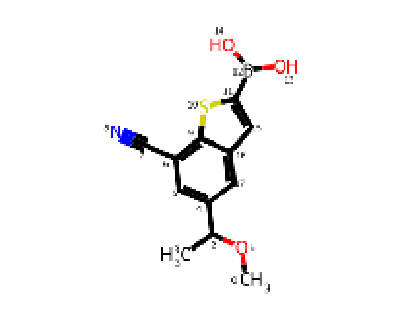 COC(C)c1cc(C#N)c2sc(B(O)O)cc2c1